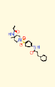 C=CC(=O)NC1(C)CCN(S(=O)(=O)c2ccc(NC(=O)CCC3CCCCC3)cc2)CC1